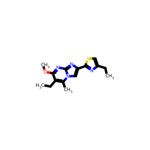 CCc1csc(-c2cn3c(C)c(CC)c(OC)nc3n2)n1